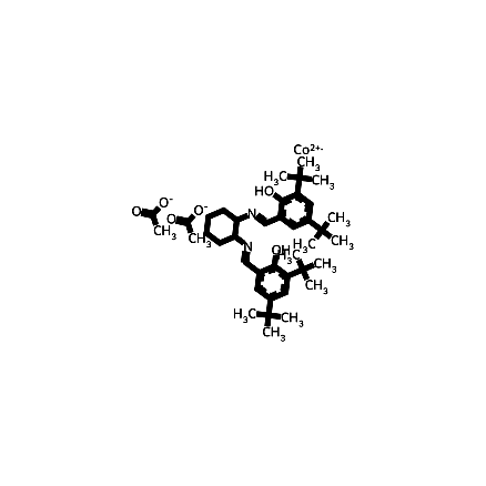 CC(=O)[O-].CC(=O)[O-].CC(C)(C)c1cc(C=NC2CCCCC2N=Cc2cc(C(C)(C)C)cc(C(C)(C)C)c2O)c(O)c(C(C)(C)C)c1.[Co+2]